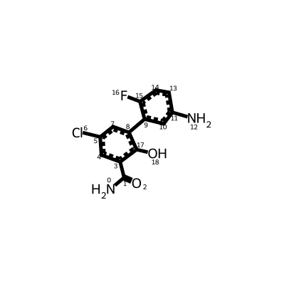 NC(=O)c1cc(Cl)cc(-c2cc(N)ccc2F)c1O